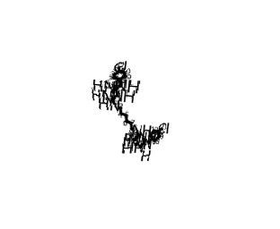 N=C(NCCCCCCNC(=NF)NC(=N)Nc1ccc(Cl)cc1)NC(=N)Nc1ccc(Cl)cc1